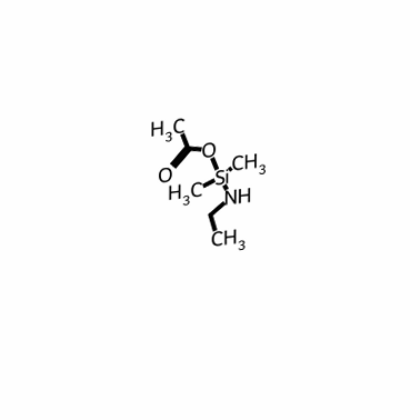 CCN[Si](C)(C)OC(C)=O